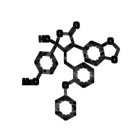 COc1ccc(C2(O)OC(=O)C(c3ccc4c(c3)OCO4)=C2Cc2ccccc2Oc2ccccc2)cc1